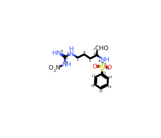 N=C(NCCCC(C=O)NS(=O)(=O)c1ccccc1)N[N+](=O)[O-]